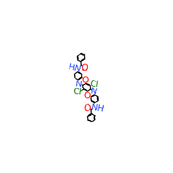 O=C(Nc1ccc2c(c1)Oc1c(Cl)c3c(c(Cl)c1=N2)Oc1cc(NC(=O)c2ccccc2)ccc1N=3)c1ccccc1